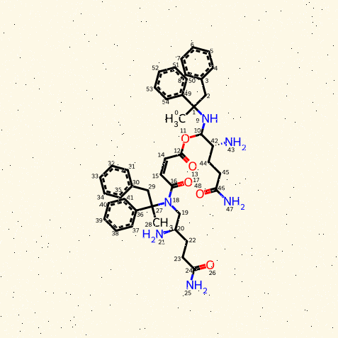 CC(Cc1ccccc1)(NC(OC(=O)/C=C\C(=O)N(C[C@H](N)CCC(N)=O)C(C)(Cc1ccccc1)c1ccccc1)[C@H](N)CCC(N)=O)c1ccccc1